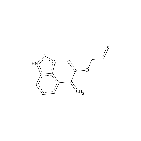 C=C(C(=O)OCC=S)c1cccc2[nH]nnc12